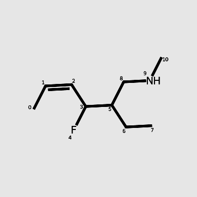 C/C=C\C(F)C(CC)CNC